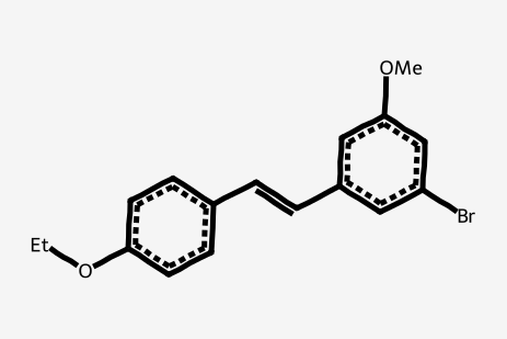 CCOc1ccc(C=Cc2cc(Br)cc(OC)c2)cc1